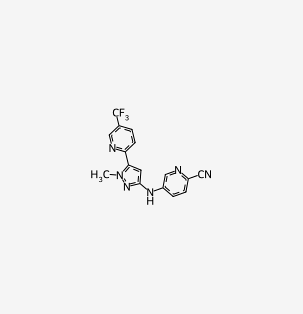 Cn1nc(Nc2ccc(C#N)nc2)cc1-c1ccc(C(F)(F)F)cn1